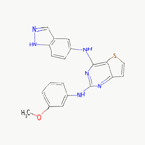 COc1cccc(Nc2nc(Nc3ccc4[nH]ncc4c3)c3sccc3n2)c1